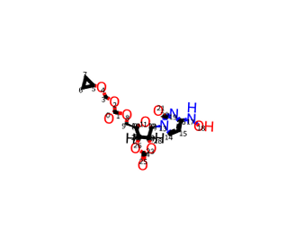 O=C(OCOC1CC1)OC[C@H]1O[C@@H](n2ccc(NO)nc2=O)[C@@H]2OC(=O)O[C@@H]21